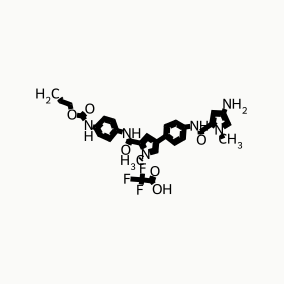 C=CCOC(=O)Nc1ccc(NC(=O)c2cc(-c3ccc(NC(=O)c4cc(N)cn4C)cc3)cn2C)cc1.O=C(O)C(F)(F)F